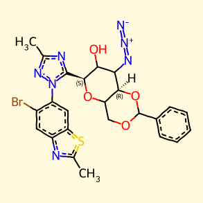 Cc1nc([C@@H]2OC3COC(c4ccccc4)O[C@@H]3C(N=[N+]=[N-])C2O)n(-c2cc3sc(C)nc3cc2Br)n1